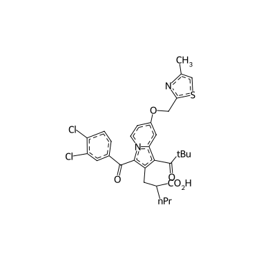 CCCC(Cc1c(C(=O)C(C)(C)C)c2cc(OCc3nc(C)cs3)ccn2c1C(=O)c1ccc(Cl)c(Cl)c1)C(=O)O